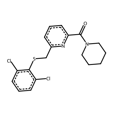 O=C(c1cccc(CSc2c(Cl)cccc2Cl)n1)N1CCCCC1